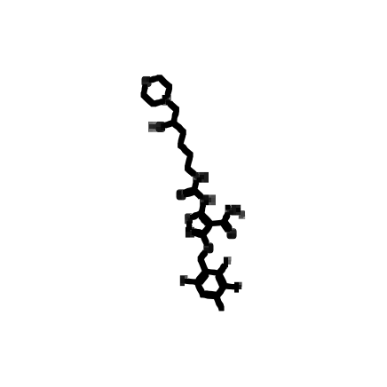 Cc1cc(F)c(COc2nsc(NC(=O)NCCCCC(O)CN3CCOCC3)c2C(N)=O)c(F)c1F